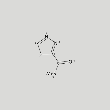 CSC(=O)C1=NN=CC1